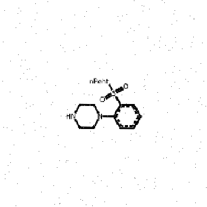 CCCCCS(=O)(=O)c1ccccc1N1CCNCC1